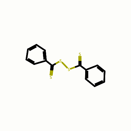 S=C(SSC(=S)c1ccccc1)c1ccccc1